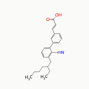 CCCCC(CC)Cc1cccc(-c2cccc(C=CC(=O)O)c2)c1C#N